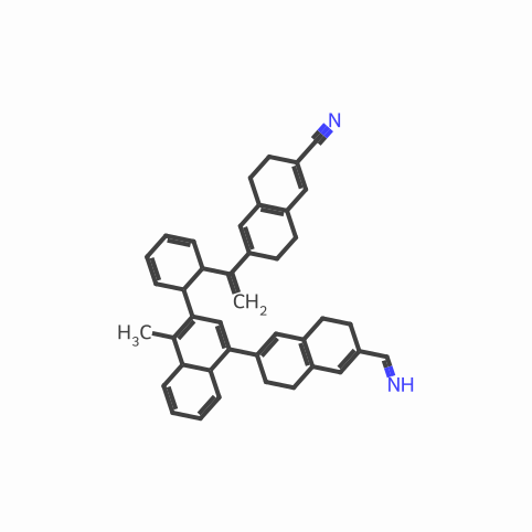 C=C(C1=CC2=C(C=C(C#N)CC2)CC1)C1C=CC=CC1C1=C(C)C2C=CC=CC2C(C2=CC3=C(C=C(C=N)CC3)CC2)=C1